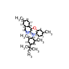 Cc1ccc2c(c1)Oc1c(ncc3cc(C)ccc13)N2c1c(C)cc(C(C)(C)C)cc1C